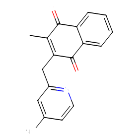 CC1=C(Cc2cc(C#N)ccn2)C(=O)c2ccccc2C1=O